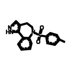 Cc1ccc(S(=O)(=O)N2CCc3cn[nH]c3-c3ccccc32)cc1